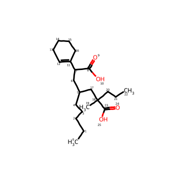 CCCCCC(CC(C(=O)O)C1=CCCCC1)CC(C)(CCC)C(=O)O